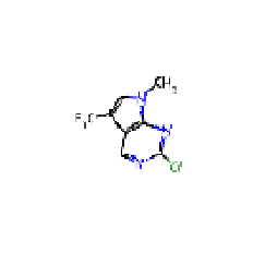 Cn1cc(C(F)(F)F)c2cnc(Cl)nc21